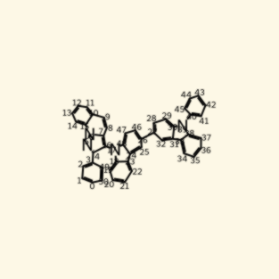 c1ccc(-c2nn3c(ccc4ccccc43)c2-n2c3ccccc3c3cc(-c4ccc5c(c4)c4ccccc4n5-c4ccccc4)ccc32)cc1